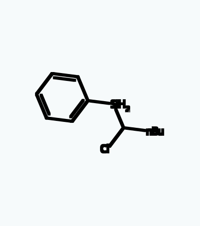 CCCCC(Cl)[SiH2]c1ccccc1